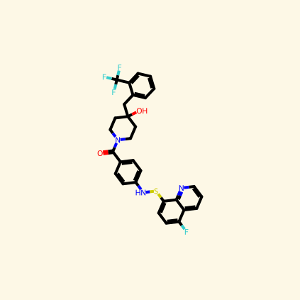 O=C(c1ccc(NSc2ccc(F)c3cccnc23)cc1)N1CCC(O)(Cc2ccccc2C(F)(F)F)CC1